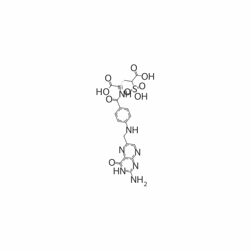 Nc1nc2ncc(CNc3ccc(C(=O)N[C@@H](CC(C(=O)O)S(=O)(=O)O)C(=O)O)cc3)nc2c(=O)[nH]1